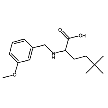 COc1cccc(CNC(CCC(C)(C)C)C(=O)O)c1